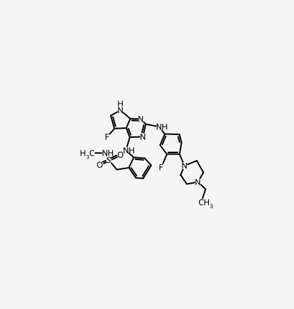 CCN1CCN(c2ccc(Nc3nc(Nc4ccccc4CS(=O)(=O)NC)c4c(F)c[nH]c4n3)cc2F)CC1